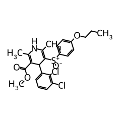 CCCOc1ccc([S+]([O-])C2=C(C)NC(C)=C(C(=O)OC)C2c2cccc(Cl)c2Cl)cc1